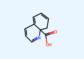 O=C(O)C12CC=CC=C1C=CC=N2